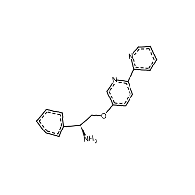 N[C@H](COc1ccc(-c2ccccn2)nc1)c1ccccc1